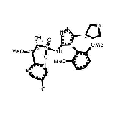 COc1cccc(OC)c1-n1c(NS(=O)(=O)[C@@H](C)[C@H](OC)c2ncc(Cl)cn2)nnc1[C@@H]1CCOC1